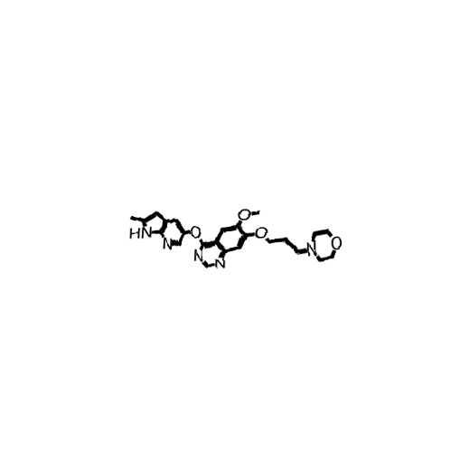 COc1cc2c(Oc3cnc4[nH]c(C)cc4c3)ncnc2cc1OCCCN1CCOCC1